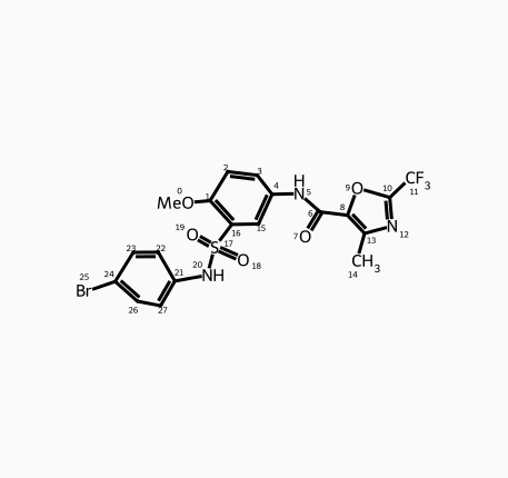 COc1ccc(NC(=O)c2oc(C(F)(F)F)nc2C)cc1S(=O)(=O)Nc1ccc(Br)cc1